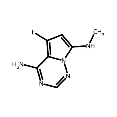 CNc1cc(F)c2c(N)ncnn12